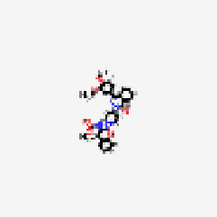 COc1ccc(C2=NN(C3CCN(C(=O)[C@H](NC(=O)O)[C@@H](C)c4ccccc4)CC3)C(=O)[C@@H]3CCCC[C@H]23)cc1OC